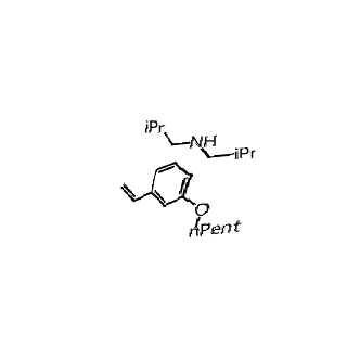 C=Cc1cccc(OCCCCC)c1.CC(C)CNCC(C)C